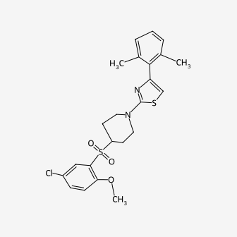 COc1ccc(Cl)cc1S(=O)(=O)C1CCN(c2nc(-c3c(C)cccc3C)cs2)CC1